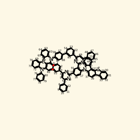 c1ccc(-c2cc(-c3ccccc3)nc(-c3ccc(-n4c5ccccc5c5c6sc7ccccc7c6ccc54)c(-c4nc(-c5ccccc5)cc(-c5cccc(-c6ccc(N7c8ccccc8B8c9ccccc9N(c9ccccc9)c9cccc7c98)cc6)c5)n4)c3)n2)cc1